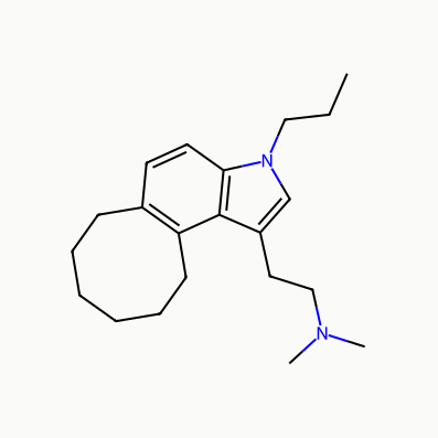 CCCn1cc(CCN(C)C)c2c3c(ccc21)CCCCCC3